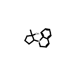 CC1(O)CCCC1N1CC=Cc2ccccc21